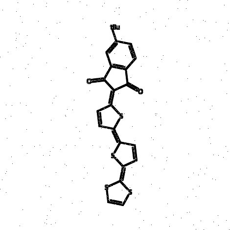 CC(C)(C)c1ccc2c(c1)C(=O)/C(=c1\cc/c(=c3/ccc(=C4SC=CS4)s3)s1)C2=O